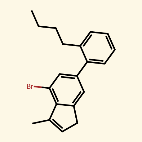 CCCCc1ccccc1-c1cc(Br)c2c(c1)CC=C2C